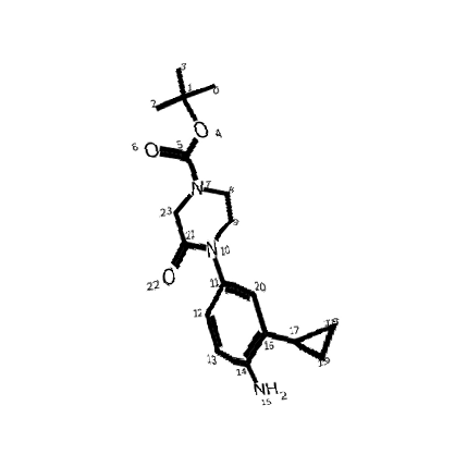 CC(C)(C)OC(=O)N1CCN(c2ccc(N)c(C3CC3)c2)C(=O)C1